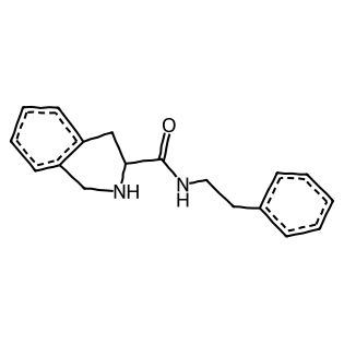 O=C(NCCc1ccccc1)C1Cc2ccccc2CN1